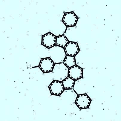 N#Cc1ccc(-n2c3c(ccc4c3c3ccccc3n4-c3ccccc3)c3ccc4c(c5ccccc5n4-c4ccccc4)c32)cc1